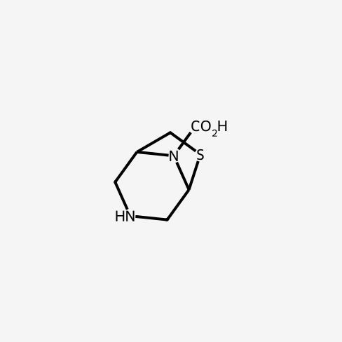 O=C(O)N1C2CNCC1SC2